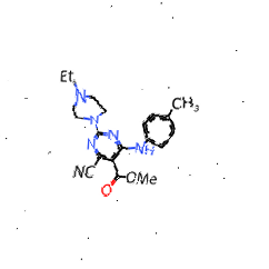 CCN1CCN(c2nc(C#N)c(C(=O)OC)c(Nc3ccc(C)cc3)n2)CC1